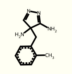 Cc1ccccc1CC1(N)C=NN=C1N